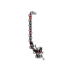 C=NOCC(=O)N[C@H](C(=O)N[C@@H](CCCNC(N)=O)C(=O)Nc1ccc(COC(=O)NCc2cn(CCOCCOCCOCCOCCOCCOCCOCCOCCOCCOCCOCCC(C)(C)C)nn2)cc1)C(C)C